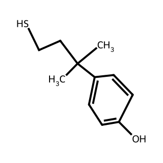 CC(C)(CCS)c1ccc(O)cc1